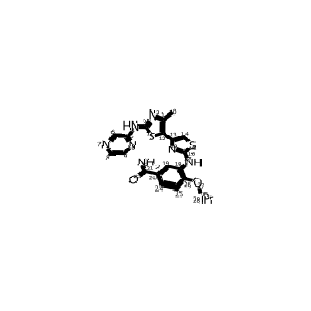 Cc1nc(Nc2cnccn2)sc1-c1csc(Nc2cc(C(N)=O)ccc2OC(C)C)n1